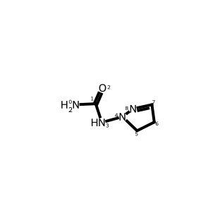 NC(=O)NN1CCC=N1